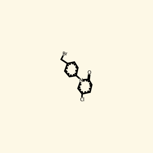 O=c1ccc(Cl)cn1-c1ccc(CBr)cc1